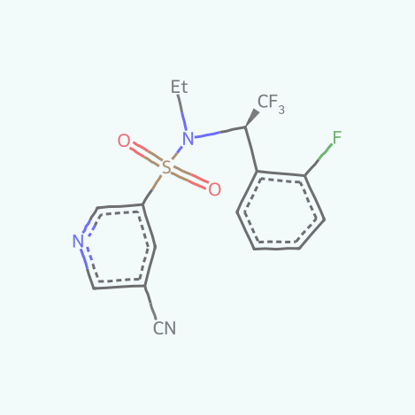 CCN([C@H](c1ccccc1F)C(F)(F)F)S(=O)(=O)c1cncc(C#N)c1